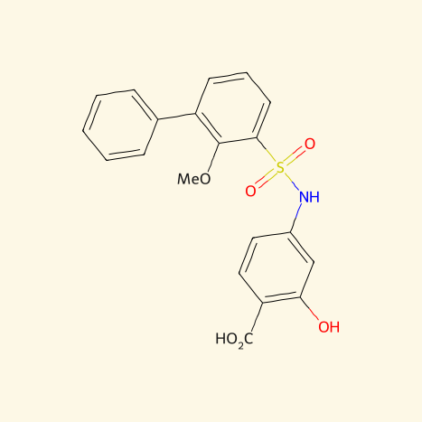 COc1c(-c2ccccc2)cccc1S(=O)(=O)Nc1ccc(C(=O)O)c(O)c1